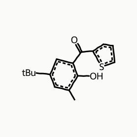 Cc1cc(C(C)(C)C)cc(C(=O)c2cccs2)c1O